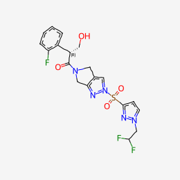 O=C([C@@H](CO)c1ccccc1F)N1Cc2cn(S(=O)(=O)c3ccn(CC(F)F)n3)nc2C1